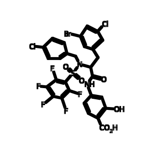 O=C(O)c1ccc(NC(=O)C(Cc2cc(Cl)cc(Br)c2)N(Cc2ccc(Cl)cc2)S(=O)(=O)c2c(F)c(F)c(F)c(F)c2F)cc1O